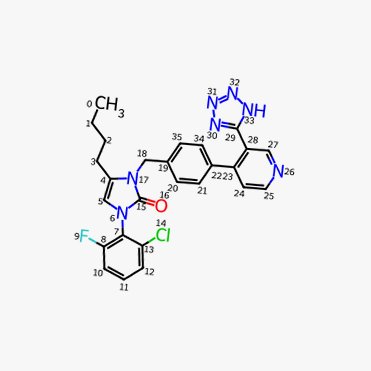 CCCCc1cn(-c2c(F)cccc2Cl)c(=O)n1Cc1ccc(-c2ccncc2-c2nnn[nH]2)cc1